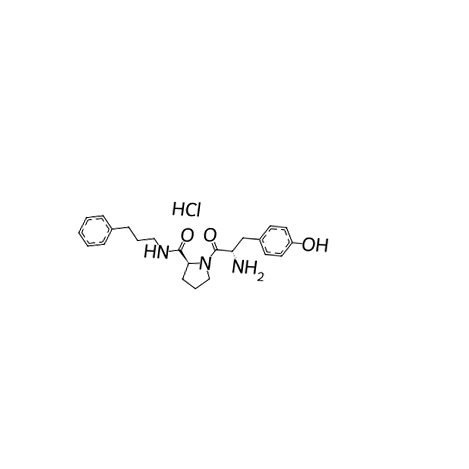 Cl.N[C@@H](Cc1ccc(O)cc1)C(=O)N1CCC[C@H]1C(=O)NCCCc1ccccc1